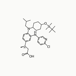 CC(C)CN(c1ccc([C@H](C)CC(=O)O)cc1Nc1ccc(Cl)nc1)C1CCC(O[Si](C)(C)C(C)(C)C)CC1